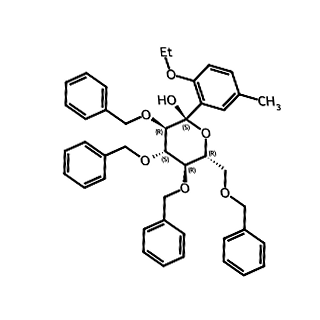 CCOc1ccc(C)cc1[C@]1(O)O[C@H](COCc2ccccc2)[C@@H](OCc2ccccc2)[C@H](OCc2ccccc2)[C@H]1OCc1ccccc1